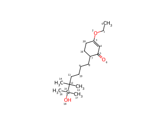 CCOC1=CC(=O)C(CCCCC(C)(C)[Si](C)(C)O)CC1